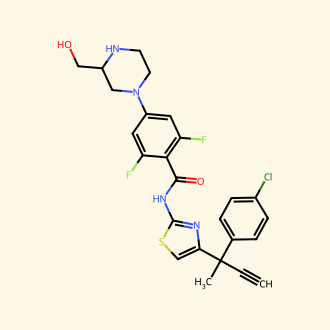 C#CC(C)(c1ccc(Cl)cc1)c1csc(NC(=O)c2c(F)cc(N3CCNC(CO)C3)cc2F)n1